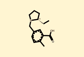 CC[C@H]1CCCN1Cc1ccc(C)c(C(=O)O)c1